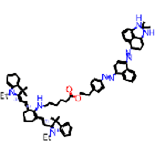 CCN1/C(=C/C=C2\CCCC(/C=C/C3=[N+](CC)c4ccccc4C3(C)C)=C2NCCCCCC(=O)OCCc2ccc(/N=N/c3ccc(/N=N/c4ccc5c6c(cccc46)NC(C)(C)N5)c4ccccc34)cc2)C(C)(C)c2ccccc21